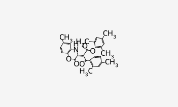 Cc1ccc(C(=O)C(C(=O)Oc2c(C)cc(C)cc2C)=C2Nc3cc(C)ccc3OC2=O)c(C)c1